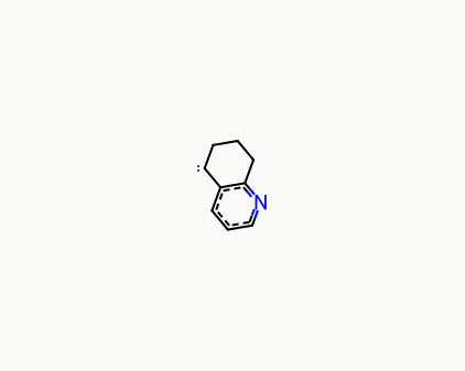 [C]1CCCc2ncccc21